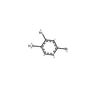 CC(=O)c1cc(Br)ncc1N